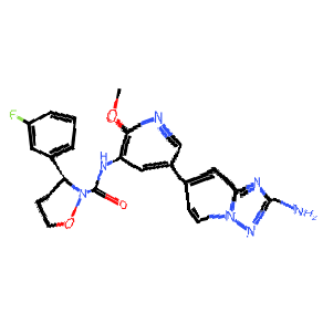 COc1ncc(-c2ccn3nc(N)nc3c2)cc1NC(=O)N1OCC[C@H]1c1cccc(F)c1